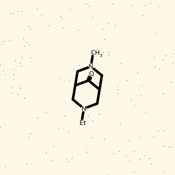 CCN1CC2CN(C)CC(C1)C2=O